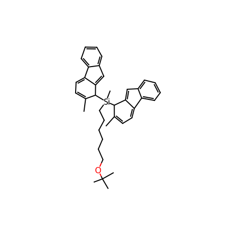 CC1=CC=C2C(=Cc3ccccc32)C1[Si](C)(CCCCCCOC(C)(C)C)C1C(C)=CC=C2C1=Cc1ccccc12